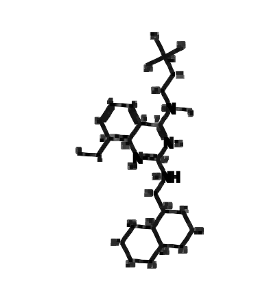 CCc1cccc2c(N(C)CCC(C)(C)C)nc(NCC3CCCC4CCCCC43)nc12